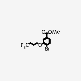 COC(=O)c1ccc(Br)c(OCCCC(F)(F)F)c1